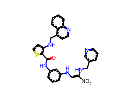 O=C(Nc1cccc(NC=C(NCc2cccnc2)[N+](=O)[O-])c1)c1sccc1NCc1ccnc2ccccc12